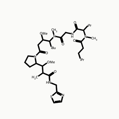 CCC(C)C(C(CC(=O)N1CCCC1C(OC)C(C)C(=O)NCc1nccs1)OC)N(C)C(=O)CNC(=O)C(C(C)C)N(C)C(=O)CCC(C)C